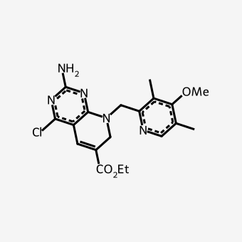 CCOC(=O)C1=Cc2c(Cl)nc(N)nc2N(Cc2ncc(C)c(OC)c2C)C1